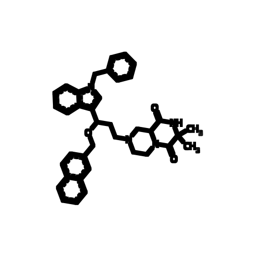 CC1(C)NC(=O)C2CN(CCC(OCc3ccc4ccccc4c3)c3cn(Cc4ccccc4)c4ccccc34)CCN2C1=O